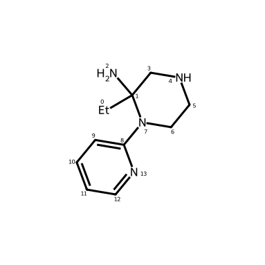 CCC1(N)CNCCN1c1ccccn1